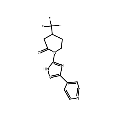 O=C1CC(C(F)(F)F)CCN1c1nc(-c2ccncc2)n[nH]1